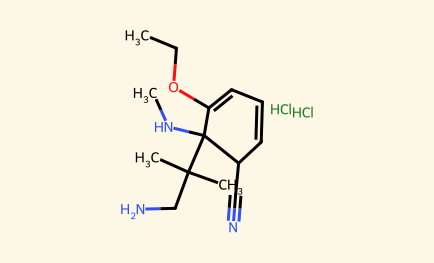 CCOC1=CC=CC(C#N)C1(NC)C(C)(C)CN.Cl.Cl